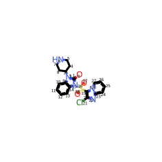 O=c1n(C2CCNCC2)c2ccccc2n1S(=O)(=O)c1c(Cl)nc2ccccn12